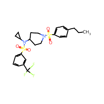 CCCc1ccc(S(=O)(=O)N2CCC(N(C3CC3)S(=O)(=O)c3cccc(C(F)(F)F)c3)CC2)cc1